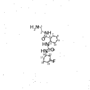 NCCNC(=O)c1ccccc1NC(=O)Nc1cccc(F)c1